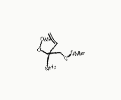 C=CC(N)(OOC)OOC